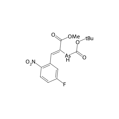 COC(=O)C(=Cc1cc(F)ccc1[N+](=O)[O-])[AsH]C(=O)OC(C)(C)C